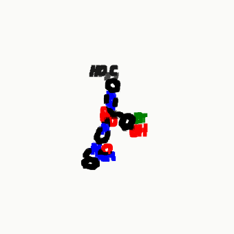 O=C(O)C[C@H]1CC[C@H](N2CCN(C(=O)[C@@H](Cc3ccc(O)c(Br)c3)OC(=O)N3CCC(N4CCc5ccccc5NC4=O)CC3)CC2)CC1